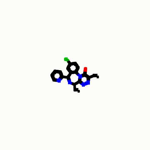 Cc1nnc2n(c1=O)-c1ccc(Cl)cc1C(c1ccccn1)=NC2C